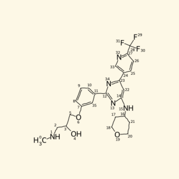 CNCC(O)COc1cccc(-c2nc(NC3CCOCC3)cc(-c3ccc(C(F)(F)F)nc3)n2)c1